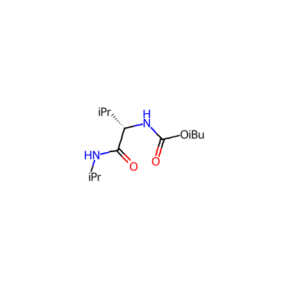 CC(C)COC(=O)N[C@H](C(=O)NC(C)C)C(C)C